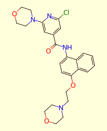 O=C(Nc1ccc(OCCN2CCOCC2)c2ccccc12)c1cc(Cl)nc(N2CCOCC2)c1